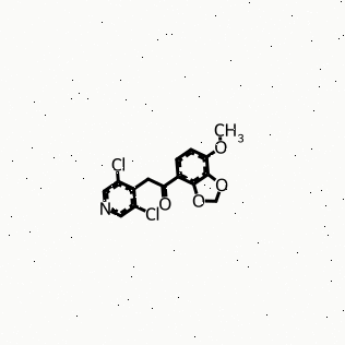 COc1ccc(C(=O)Cc2c(Cl)cncc2Cl)c2c1OCO2